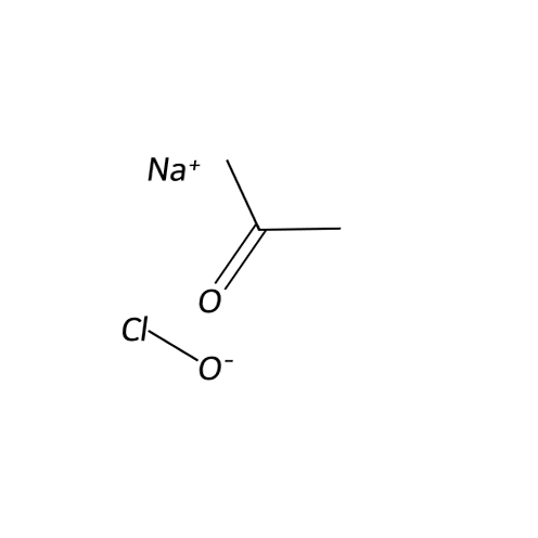 CC(C)=O.[Na+].[O-]Cl